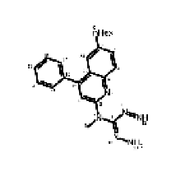 CCCCCCc1ccc2nc(N(C)/C(N=N)=N/N)cc(-c3ccccc3)c2c1